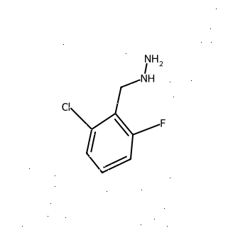 NNCc1c(F)cccc1Cl